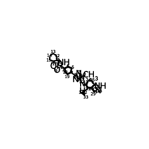 Cn1nc(-c2ccc(C(=O)NC3CCCCC3O)cc2)nc1Nc1ccc2[nH]ncc2c1C1CC1